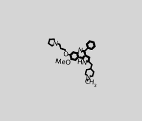 COc1cc2c(cc1OCCCN1CCCC1)nc(-c1ccccc1)c1cc(CC3CCN(C)CC3)[nH]c12